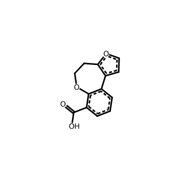 O=C(O)c1cccc2c1OCCc1occc1-2